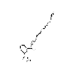 CCCCOC(=O)C1CCCC(C(=O)OCCCCCCCCCC(C)C)C1